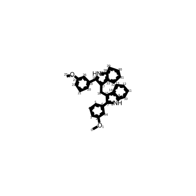 COc1cccc(-c2[nH]c3ccccc3c2Cc2c(-c3cccc(OC)c3)[nH]c3ccccc23)c1